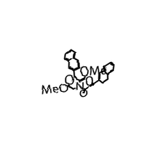 COC(=O)CN(C(=O)C#Cc1ccc2ccccc2c1)C(Cc1ccc2ccccc2c1)C(=O)OC